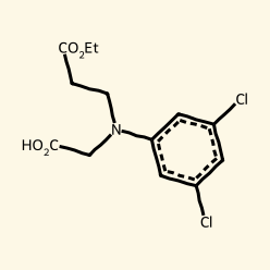 CCOC(=O)CCN(CC(=O)O)c1cc(Cl)cc(Cl)c1